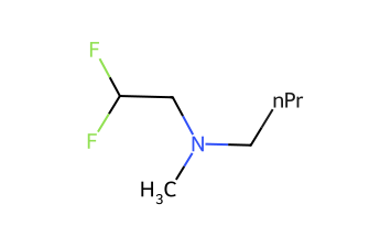 CCCCN(C)CC(F)F